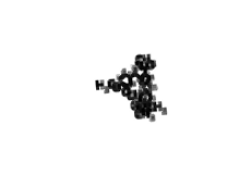 COc1ccc(-c2cn(C)c(=O)c3cc(CN4CCN(S(C)(=O)=O)C(C)C4)sc23)cc1OC